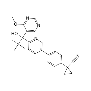 COc1ncncc1C(O)(c1ccc(-c2ccc(C3(C#N)CC3)cc2)cn1)C(C)(C)C